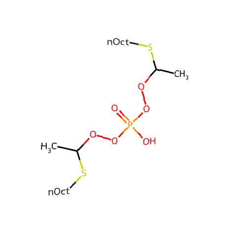 CCCCCCCCSC(C)OOP(=O)(O)OOC(C)SCCCCCCCC